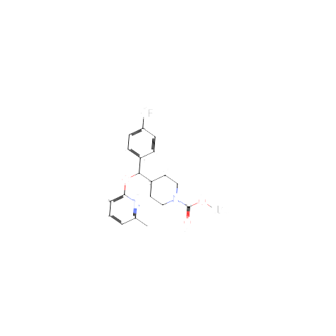 Cc1cccc(OC(c2ccc(C(F)(F)F)cc2)C2CCN(C(=O)OC(C)(C)C)CC2)n1